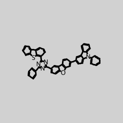 c1ccc(-c2nc(-c3ccc4oc5cc(-c6ccc7c(c6)c6ccccc6n7-c6ccccc6)ccc5c4c3)nc(-c3cccc4c3sc3ccccc34)n2)cc1